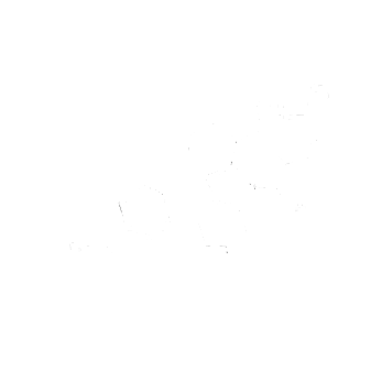 CCCC(c1ccc(C(F)(F)F)cc1)n1c2c(c3c(-c4cccc(OC(F)(F)F)c4)cccc31)CCCC2CC(=O)O